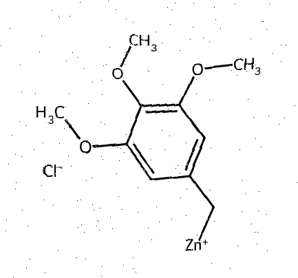 COc1cc([CH2][Zn+])cc(OC)c1OC.[Cl-]